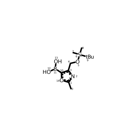 Cc1nc(CO[Si](C)(C)C(C)(C)C)c(B(O)O)o1